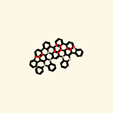 c1ccc(-c2ccccc2N2c3cc4c(cc3B3c5ccccc5Sc5c3c2cc2oc3ccccc3c52)B2c3ccccc3N(c3ccccc3)c3c2c(cc2oc5ccccc5c32)N4c2c(-c3ccccc3)cccc2-c2ccccc2)cc1